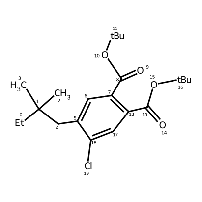 CCC(C)(C)Cc1cc(C(=O)OC(C)(C)C)c(C(=O)OC(C)(C)C)cc1Cl